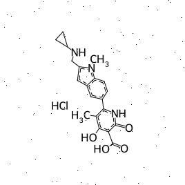 Cc1c(-c2ccc3c(c2)cc(CNC2CC2)n3C)[nH]c(=O)c(C(=O)O)c1O.Cl